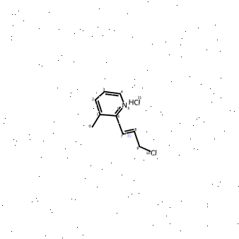 Cc1cccnc1/C=C/CCl.Cl